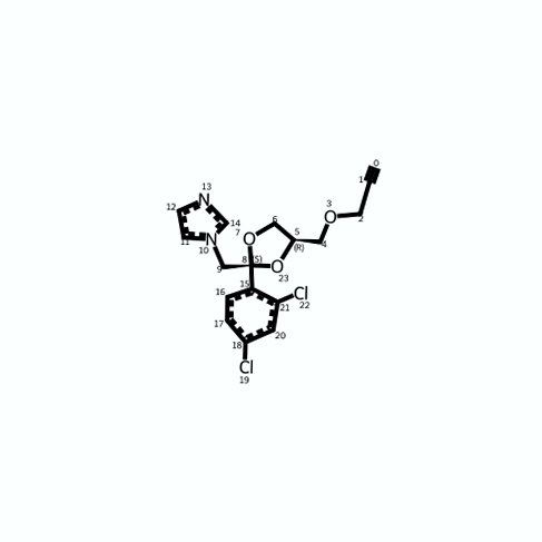 C#CCOC[C@@H]1CO[C@@](Cn2ccnc2)(c2ccc(Cl)cc2Cl)O1